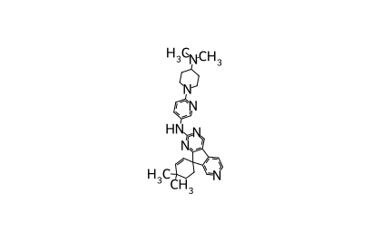 CN(C)C1CCN(c2ccc(Nc3ncc4c(n3)C3(C=CC(C)(C)CC3)c3cnccc3-4)cn2)CC1